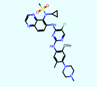 COc1cc(N2CCN(C)CC2)c(C)cc1Nc1ncc(Cl)c(Nc2ccc3nccnc3c2N(C2CC2)S(C)(=O)=O)n1